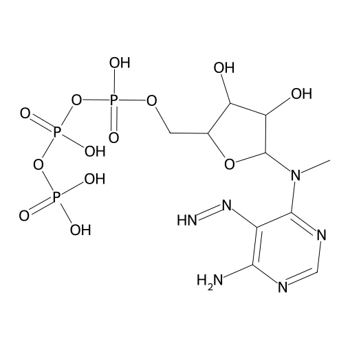 CN(c1ncnc(N)c1N=N)C1OC(COP(=O)(O)OP(=O)(O)OP(=O)(O)O)C(O)C1O